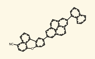 N#Cc1ccc2c3c(cccc13)-c1cc(-c3cc4ccc5cc(-c6cccc7ccccc67)cc6ccc(c3)c4c56)ccc1O2